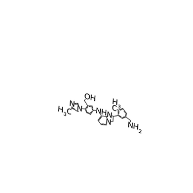 Cc1cn(-c2ccc(NC3=CC=CN4CC(c5cc(CN)ccc5C)N=C34)cc2CO)cn1